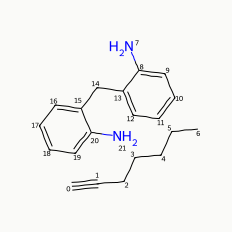 C#CCCCCC.Nc1ccccc1Cc1ccccc1N